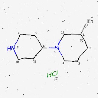 CC[C@@H]1CCCN(C2CCNCC2)C1.Cl